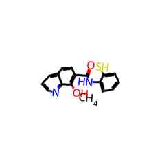 C.O=C(Nc1ccccc1S)c1ccc2cccnc2c1O